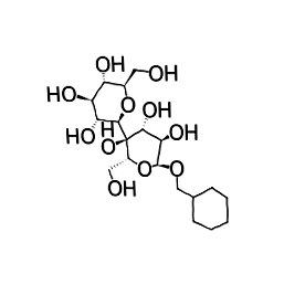 OC[C@H]1O[C@@H]([C@]2(O)[C@H](O)[C@@H](O)[C@@H](OCC3CCCCC3)O[C@@H]2CO)[C@H](O)[C@@H](O)[C@@H]1O